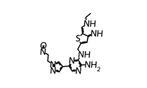 CCN/C=C1/SC(CNc2nc(-c3cnn(CCN=O)c3)cnc2N)=CC1=N